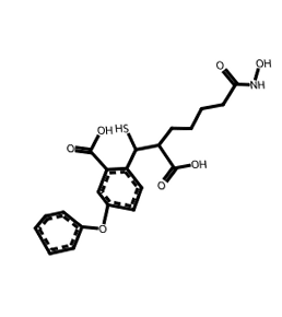 O=C(CCCCC(C(=O)O)C(S)c1ccc(Oc2ccccc2)cc1C(=O)O)NO